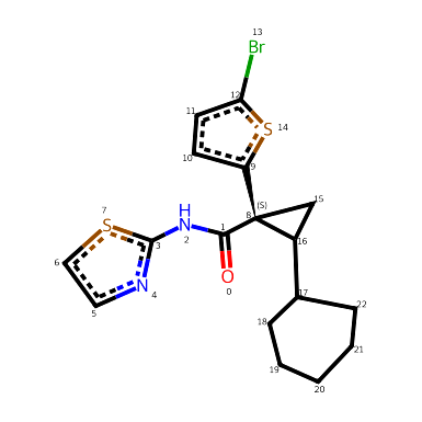 O=C(Nc1nccs1)[C@]1(c2ccc(Br)s2)CC1C1CCCCC1